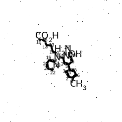 Cc1ccc(-c2ccnc(N(CCCCCCC(=O)O)c3ccccn3)c2)cc1.NO